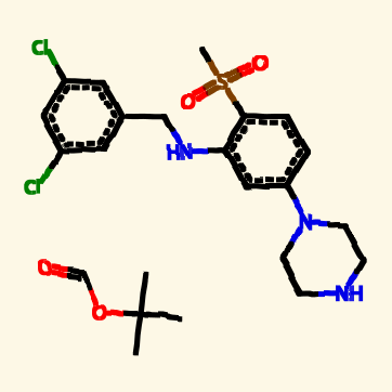 CC(C)(C)OC=O.CS(=O)(=O)c1ccc(N2CCNCC2)cc1NCc1cc(Cl)cc(Cl)c1